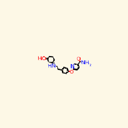 NC(=O)c1ccc(Oc2ccc(CCN[C@@H]3CCC[C@@H](O)C3)cc2)nc1